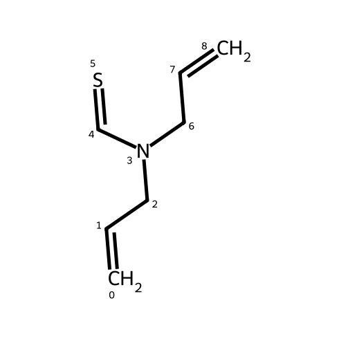 C=CCN(C=S)CC=C